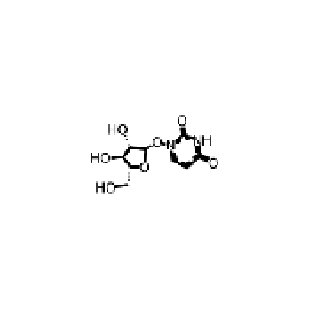 O=c1ccn(O[C@H]2O[C@H](CO)[C@@H](O)[C@@H]2O)c(=O)[nH]1